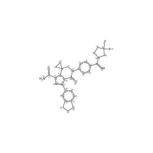 N=C(c1ccc(N2CC3(CC3)c3c(C(N)=O)nn(-c4ccc5c(c4)CCO5)c3C2=O)cc1)N1CCC(F)(F)C1